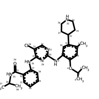 Cc1cc(OC(C)C)c(Nc2ncc(Cl)c(Nc3ccccc3C(=O)NC(C)C)n2)cc1C1CCNCC1